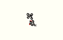 N#Cc1cccc2c1Sc1ccc(-c3ccc(-n4c(-c5ccccc5-c5ccccc5)nc5ccccc54)cc3)cc1C21c2ccccc2-c2ccccc21